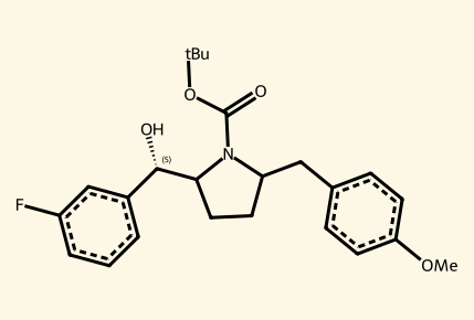 COc1ccc(CC2CCC([C@@H](O)c3cccc(F)c3)N2C(=O)OC(C)(C)C)cc1